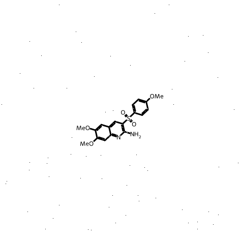 COc1ccc(S(=O)(=O)c2cc3cc(OC)c(OC)cc3nc2N)cc1